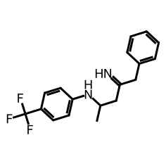 CC(CC(=N)Cc1ccccc1)Nc1ccc(C(F)(F)F)cc1